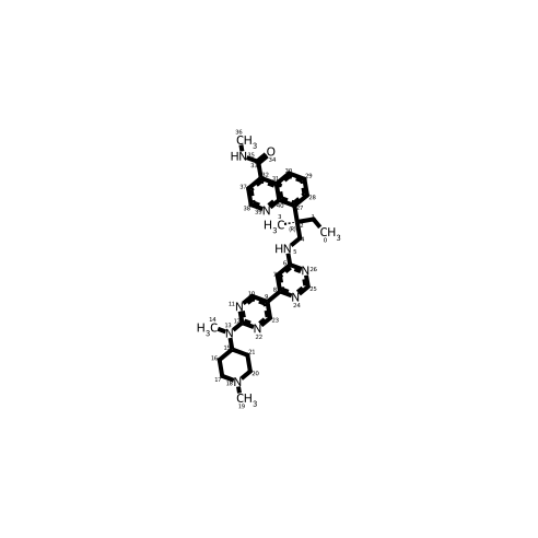 CC[C@@](C)(CNc1cc(-c2cnc(N(C)C3CCN(C)CC3)nc2)ncn1)c1cccc2c(C(=O)NC)ccnc12